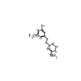 NC1=N[C@@H](CCc2cc(F)cc(C(F)(F)F)c2)CCC1